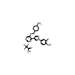 NC1CCC(COc2cncnc2-c2cnn(-c3ccc(O)c(F)c3)c2)CC1.O=C(O)C(F)(F)F